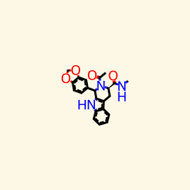 CNC(=O)[C@H]1Cc2c([nH]c3ccccc23)C(c2ccc3c(c2)OCO3)N1C(C)=O